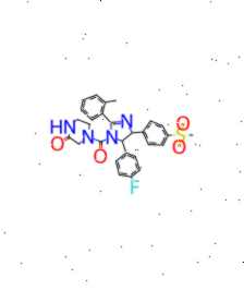 Cc1ccccc1C1=NC(c2ccc(S(C)(=O)=O)cc2)C(c2ccc(F)cc2)N1C(=O)N1CCNC(=O)C1